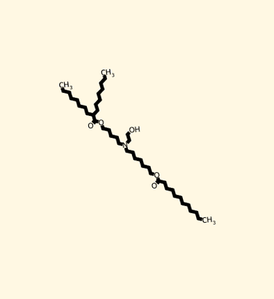 CCCCCCCCCCCC(=O)OCCCCCCCN(CCO)CCCCCOC(=O)C(CCCCCCCC)CCCCCCCC